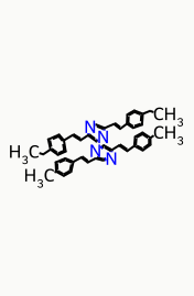 CCc1ccc(C=Cc2cnc(C=Cc3ccc(CC)cc3)cn2)cc1.Cc1ccc(C=Cc2cnc(C=Cc3ccc(C)cc3)cn2)cc1